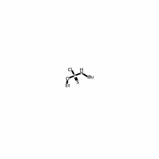 CCOP(=S)(Cl)NC(C)CC